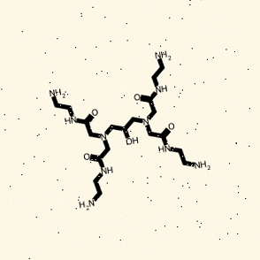 NCCNC(=O)CN(CC(=O)NCCN)CC(O)CN(CC(=O)NCCN)CC(=O)NCCN